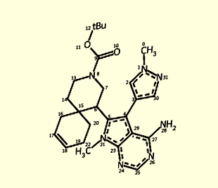 Cn1cc(-c2c(C3CN(C(=O)OC(C)(C)C)CCC34CC=CCC4)n(C)c3ncnc(N)c23)cn1